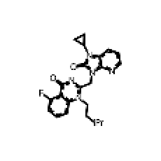 CC(C)CCn1c(Cn2c(=O)n(C3CC3)c3cccnc32)nc(=O)c2c(F)cccc21